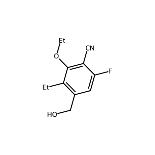 CCOc1c(C#N)c(F)cc(CO)c1CC